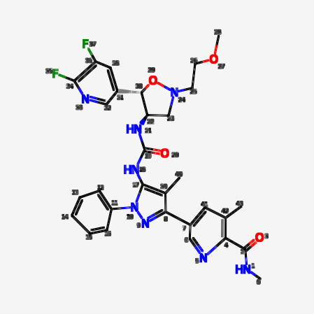 CNC(=O)c1ncc(-c2nn(-c3ccccc3)c(NC(=O)N[C@@H]3CN(CCOC)O[C@H]3c3cnc(F)c(F)c3)c2C)cc1C